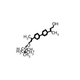 CC(=CCO)c1ccc(-c2ccc(C(C)=CCOC[Si](C)(C)C(C)(C)C)cc2)cc1